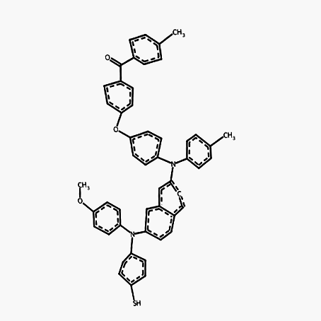 COc1ccc(N(c2ccc(S)cc2)c2ccc3ccc(N(c4ccc(C)cc4)c4ccc(Oc5ccc(C(=O)c6ccc(C)cc6)cc5)cc4)cc3c2)cc1